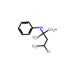 CCC(CC(Nc1ccccc1)(C(=O)O)[N+](=O)[O-])[N+](=O)[O-]